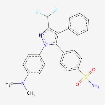 CN(C)c1ccc(-n2nc(C(F)F)c(-c3ccccc3)c2-c2ccc(S(N)(=O)=O)cc2)cc1